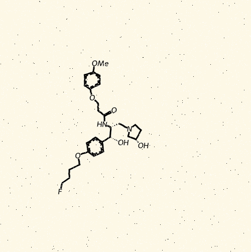 COc1ccc(OCCC(=O)N[C@H](CN2CC[C@H](O)C2)[C@H](O)c2ccc(OCCCCF)cc2)cc1